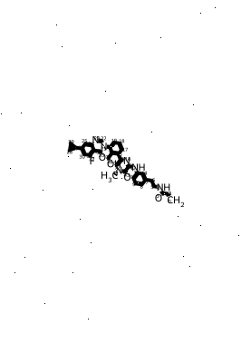 C=CC(=O)NCCc1cccc(Nc2nc(-c3cccc(-n4cnc5cc(C6CC6)cc(F)c5c4=O)c3CO)cn(C)c2=O)c1